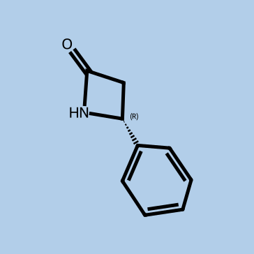 O=C1C[C@H](c2ccccc2)N1